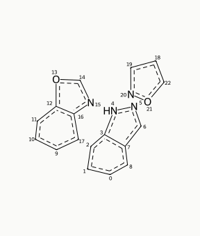 c1ccc2[nH]ncc2c1.c1ccc2ocnc2c1.c1cnoc1